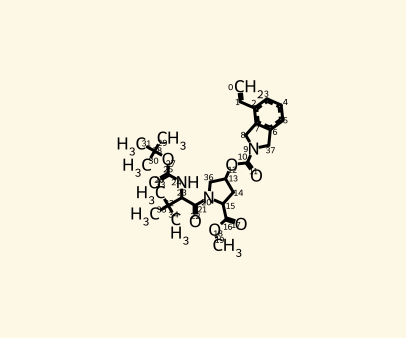 C=Cc1cccc2c1CN(C(=O)OC1CC(C(=O)OC)N(C(=O)C(NC(=O)OC(C)(C)C)C(C)(C)C)C1)C2